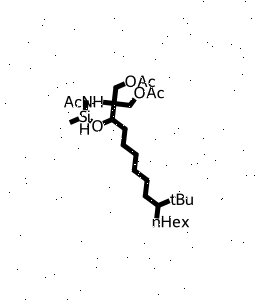 CCCCCCC(CCCCCCC(O[SiH](C)C)C(COC(C)=O)(COC(C)=O)NC(C)=O)C(C)(C)C